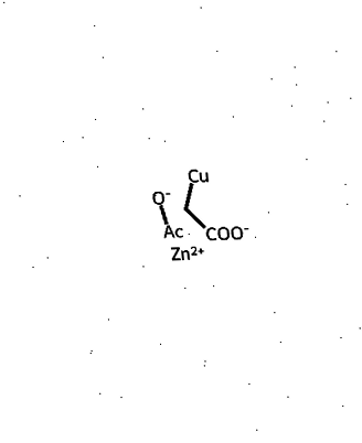 CC(=O)[O-].O=C([O-])[CH2][Cu].[Zn+2]